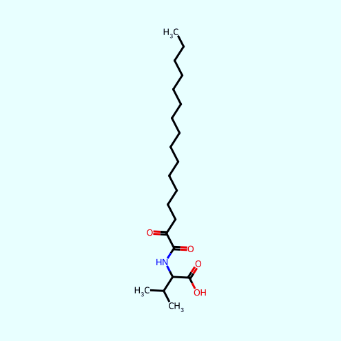 CCCCCCCCCCCCCCC(=O)C(=O)NC(C(=O)O)C(C)C